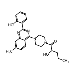 CCCC(O)C(=O)N1CCN(c2nc(-c3ccccc3O)nc3cc(C)ccc23)CC1